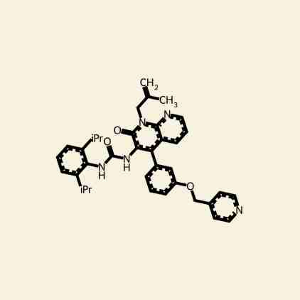 C=C(C)Cn1c(=O)c(NC(=O)Nc2c(C(C)C)cccc2C(C)C)c(-c2cccc(OCc3ccncc3)c2)c2cccnc21